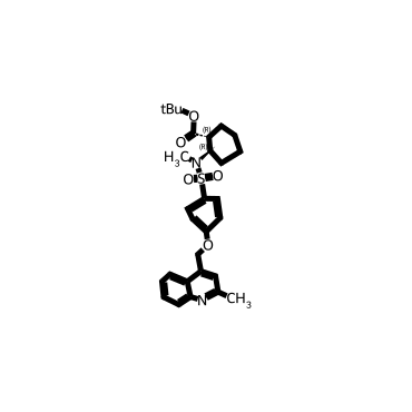 Cc1cc(COc2ccc(S(=O)(=O)N(C)[C@@H]3CCCC[C@H]3C(=O)OC(C)(C)C)cc2)c2ccccc2n1